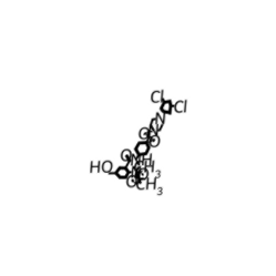 CN(c1ccc(CO)cc1C(=O)Nc1ccc(S(=O)(=O)N2CCN(c3cc(Cl)cc(Cl)c3)CC2)cc1)S(C)(=O)=O